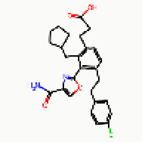 NC(=O)c1coc(-c2c(CCc3ccc(Cl)cc3)ccc(CCC(=O)O)c2CC2CCCC2)n1